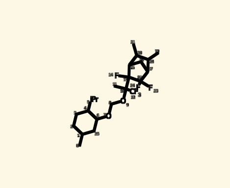 CC1CCC(C(C)C)C(OCOC(C)(C(F)(F)F)C2(F)C3CC(C(C)C3C)C2(F)F)C1